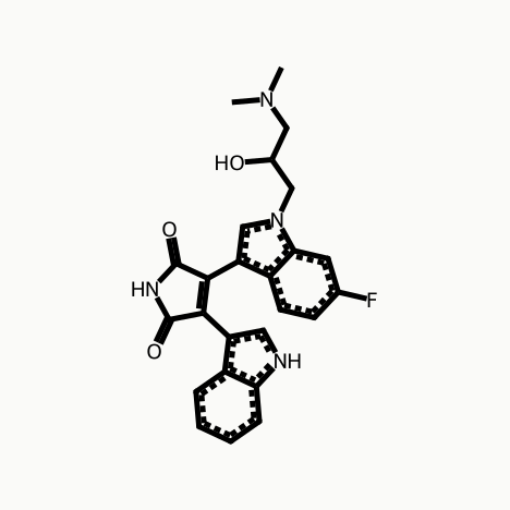 CN(C)CC(O)Cn1cc(C2=C(c3c[nH]c4ccccc34)C(=O)NC2=O)c2ccc(F)cc21